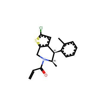 C=CC(=O)N1Cc2sc(Cl)cc2[C@@H](c2ccccc2C)[C@H]1C